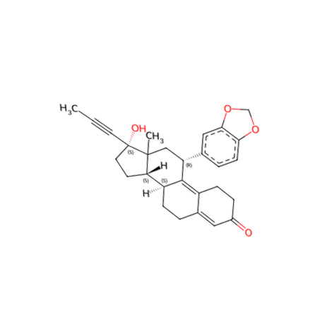 CC#C[C@]1(O)CC[C@H]2[C@@H]3CCC4=CC(=O)CCC4=C3[C@@H](c3ccc4c(c3)OCO4)CC21C